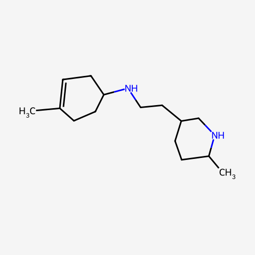 CC1=CCC(NCCC2CCC(C)NC2)CC1